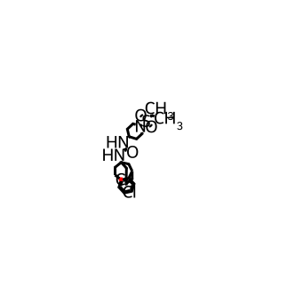 CC(C)S(=O)(=O)N1CCC(NC(=O)NC23CC4CC(Cl)(CC(C2)c2ccccc24)C3)CC1